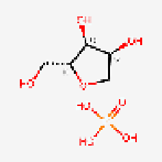 O=P(O)(O)O.OC[C@H]1OC[C@H](O)[C@@H]1O